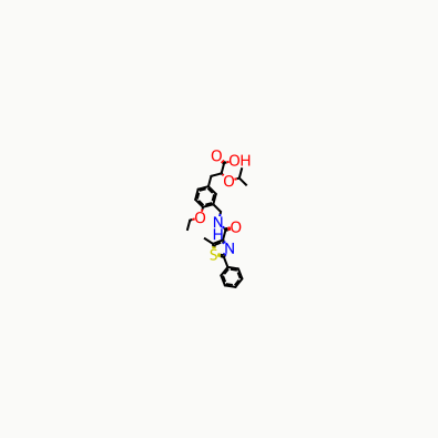 CCOc1ccc(CC(OC(C)C)C(=O)O)cc1CNC(=O)c1nc(-c2ccccc2)sc1C